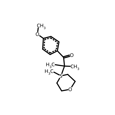 COc1ccc(C(=O)C(C)(C)S2(C)CCOCC2)cc1